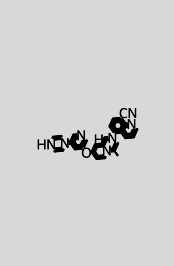 C[C@@H]1CN(c2ccc(C#N)c3ncccc23)C[C@@H]2C[C@@H](Oc3cncc(N4CCNCC4)c3)CCN21